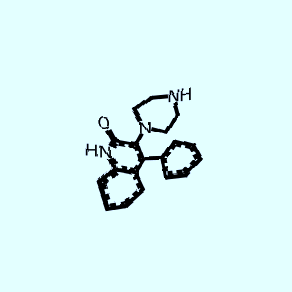 O=c1[nH]c2ccccc2c(-c2ccccc2)c1N1CCNCC1